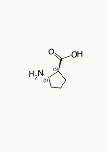 N[C@H]1CCC[C@@H]1C(=O)O